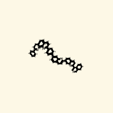 C1=Cc2c(cncc2-c2ccc3ccc(-c4ccc5ccc(-c6ccc(-c7ccc8ccc9c(c8n7)N=C(c7ccccc7)CC9)cc6)cc5n4)cc3n2)CC1